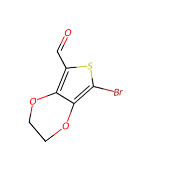 O=Cc1sc(Br)c2c1OCCO2